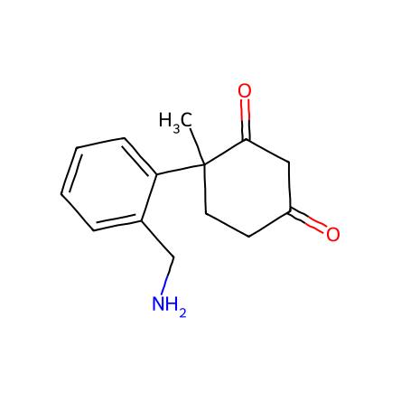 CC1(c2ccccc2CN)CCC(=O)CC1=O